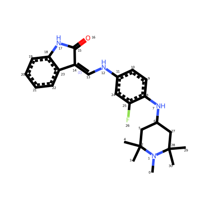 CN1C(C)(C)CC(Nc2ccc(N/C=C3\C(=O)Nc4ccccc43)cc2F)CC1(C)C